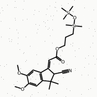 COc1cc2c(cc1OC)C(C)(C)C(C#N)C2=CC(=O)OCCC[Si](C)(C)O[Si](C)(C)C